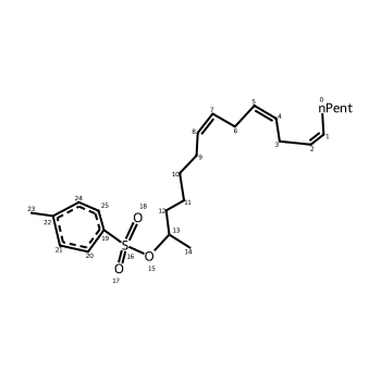 CCCCC/C=C\C/C=C\C/C=C\CCCCC(C)OS(=O)(=O)c1ccc(C)cc1